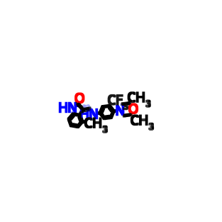 Cc1cccc2c1/C(=C\Nc1ccc(N3CC(C)OC(C)C3)c(C(F)(F)F)c1)C(=O)N2